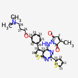 CC1=CC(=O)N(Nc2nc(-c3cccs3)nc3scc(-c4cccc(OCCCN(C)C)c4)c23)C1=O